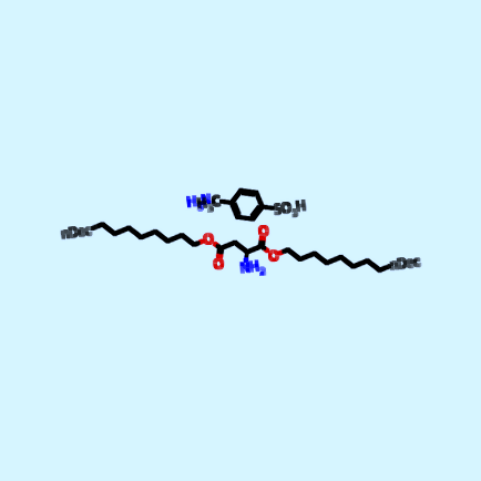 CCCCCCCCCCCCCCCCCCOC(=O)C[C@H](N)C(=O)OCCCCCCCCCCCCCCCCCC.Cc1ccc(S(=O)(=O)O)cc1.N